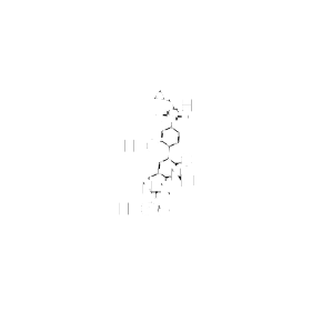 CCn1c(=O)c(-c2ccc(S(=O)(=O)NC3CC3)cc2C)cc2cnc([S+](C)[O-])nc21